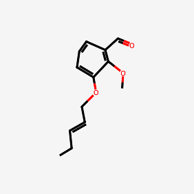 CCC=CCOc1cccc(C=O)c1OC